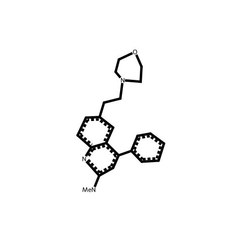 CNc1cc(-c2ccccc2)c2cc(CCN3CCOCC3)ccc2n1